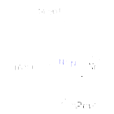 CCCCCCCCC1=C(c2cccc(CCCCC)c2)[N+](=[N-])C(c2cccc(CCCCC)c2)=C1.C[CH2][Ni][CH2]C